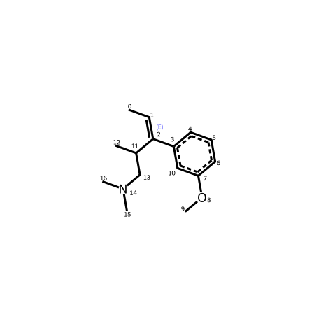 C/C=C(/c1cccc(OC)c1)C(C)CN(C)C